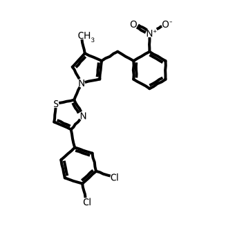 Cc1cn(-c2nc(-c3ccc(Cl)c(Cl)c3)cs2)cc1Cc1ccccc1[N+](=O)[O-]